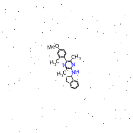 COc1ccc(-c2nc(C)c(NC3CCc4ccccc43)nc2C)c(C)c1